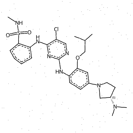 CNS(=O)(=O)c1ccccc1Nc1nc(Nc2ccc(N3CC[C@H](N(C)C)C3)cc2OCC(C)C)ncc1Cl